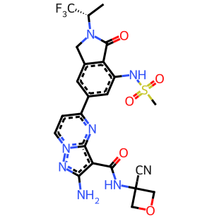 C[C@H](N1Cc2cc(-c3ccn4nc(N)c(C(=O)NC5(C#N)COC5)c4n3)cc(NS(C)(=O)=O)c2C1=O)C(F)(F)F